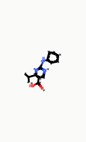 CC(C)c1nc(Nc2ccccc2)ncc1C(=O)O